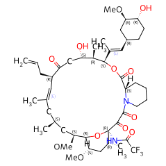 C=CC[C@@H]1/C=C(\C)C[C@H](C)C[C@H](OC)[C@H]2O[C@@](NC(=O)C(F)(F)F)(C(=O)C(=O)N3CCCC[C@H]3C(=O)O[C@H](/C(C)=C/[C@@H]3CC[C@@H](O)[C@H](OC)C3)[C@H](C)[C@@H](O)CC1=O)[C@H](C)C[C@@H]2OC